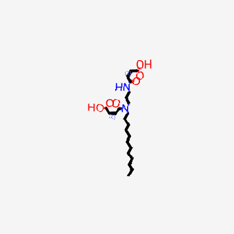 CCCCCCCCCCCCN(CCCNC(=O)/C=C\C(=O)O)C(=O)/C=C\C(=O)O